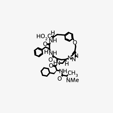 CN[C@@H](C)C(=O)N[C@@H](CC1CCCCC1)C(=O)N1C[C@@H]2C[C@H]1C(=O)N[C@@H](Cc1ccccc1)C(=O)N[C@H](C(=O)O)Cc1ccc(cc1)OCc1cn2nn1